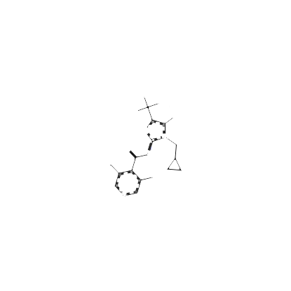 Cc1c(C(C)(C)C)s/c(=N\C(=O)c2c(Cl)cncc2Cl)n1CC1CC1